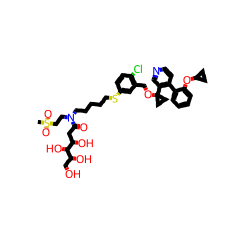 CS(=O)(=O)CCN(CCCCCSc1ccc(Cl)c(COC2(c3cnccc3-c3ccccc3OC3CC3)CC2)c1)C(=O)CC(O)C(O)C(O)CO